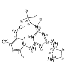 Cc1cc(Cl)c(N=O)cc1Nc1nc(N[C@H]2CCNC2)nc(N(C)CC(C)(C)C)n1